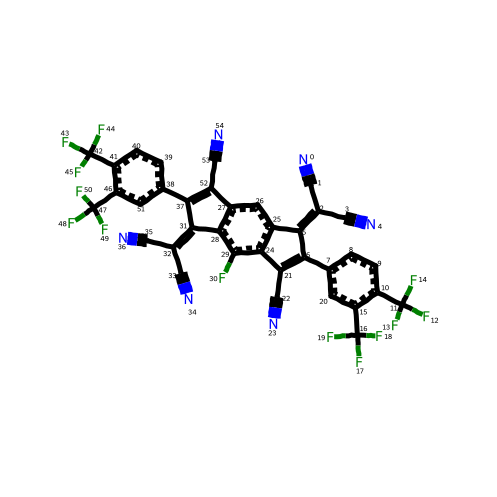 N#CC(C#N)=C1C(c2ccc(C(F)(F)F)c(C(F)(F)F)c2)=C(C#N)c2c1cc1c(c2F)C(=C(C#N)C#N)C(c2ccc(C(F)(F)F)c(C(F)(F)F)c2)=C1C#N